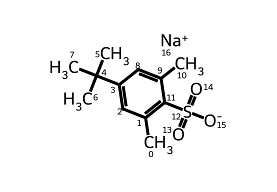 Cc1cc(C(C)(C)C)cc(C)c1S(=O)(=O)[O-].[Na+]